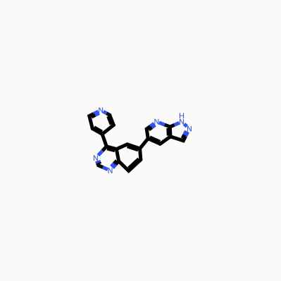 c1cc(-c2ncnc3ccc(-c4cnc5[nH]ncc5c4)cc23)ccn1